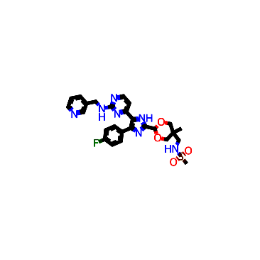 CC1(CNS(C)(=O)=O)COC(c2nc(-c3ccc(F)cc3)c(-c3ccnc(NCc4cccnc4)n3)[nH]2)OC1